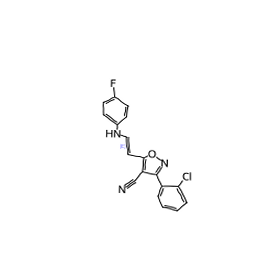 N#Cc1c(-c2ccccc2Cl)noc1/C=C/Nc1ccc(F)cc1